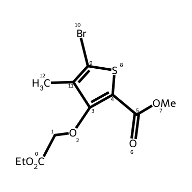 CCOC(=O)COc1c(C(=O)OC)sc(Br)c1C